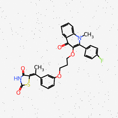 CC(=C1SC(=O)NC1=O)c1cccc(OCCCOc2c(-c3ccc(F)cc3)n(C)c3ccccc3c2=O)c1